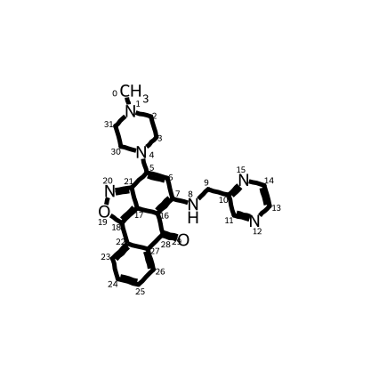 CN1CCN(c2cc(NCc3cnccn3)c3c4c(onc24)-c2ccccc2C3=O)CC1